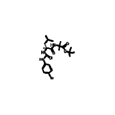 CC(C)C[C@@H](NC(=O)Nc1ccc(Br)cc1)C(=O)NC(C)(C)C(=O)OC(C)(C)C